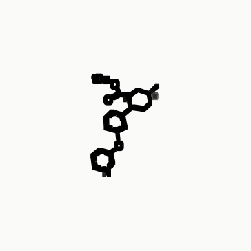 C[C@H]1CC=C(c2cccc(Oc3cccnc3)c2)N(C(=O)OC(C)(C)C)C1